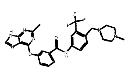 Cc1nc(Oc2cccc(C(=O)Nc3ccc(CN4CCN(C)CC4)c(C(F)(F)F)c3)c2)c2nc[nH]c2n1